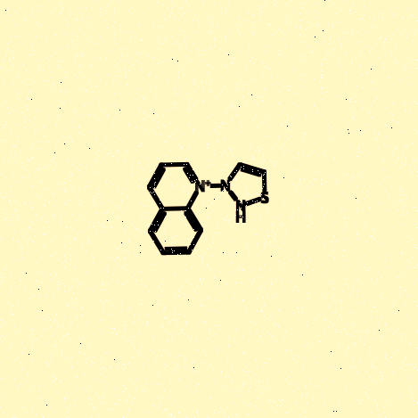 C1=CN([n+]2cccc3ccccc32)NS1